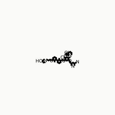 Cc1c(COc2cc(OCc3cncc(C#N)c3)c(CN3CCCCC3(C)C(=O)O)cc2Cl)cccc1-c1cccc(OCCCN2CCC(O)C2)c1C